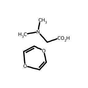 C1=COC=CO1.CN(C)CC(=O)O